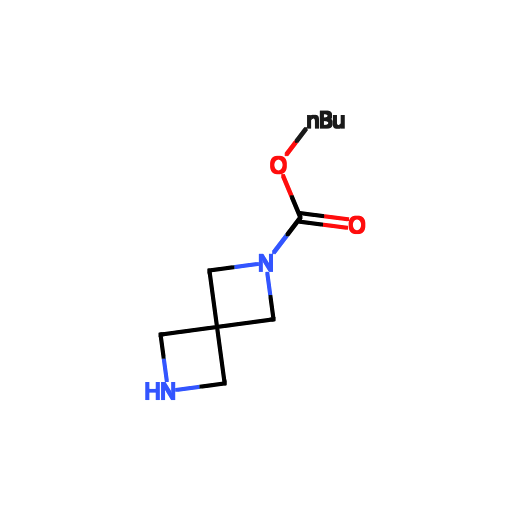 CCCCOC(=O)N1CC2(CNC2)C1